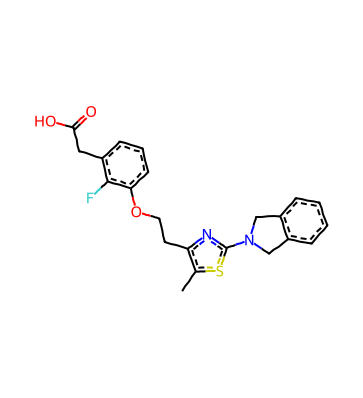 Cc1sc(N2Cc3ccccc3C2)nc1CCOc1cccc(CC(=O)O)c1F